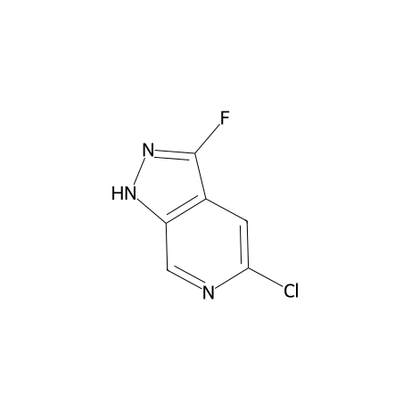 Fc1n[nH]c2cnc(Cl)cc12